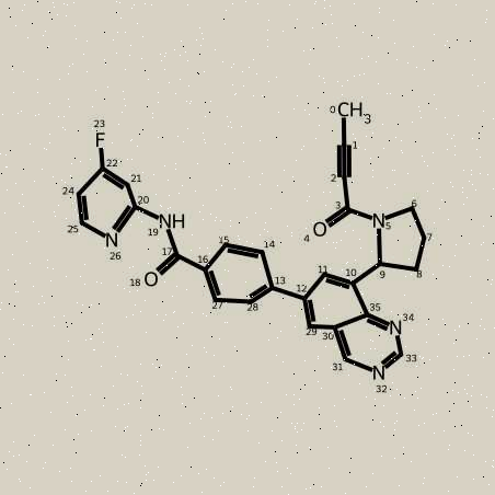 CC#CC(=O)N1CCCC1c1cc(-c2ccc(C(=O)Nc3cc(F)ccn3)cc2)cc2cncnc12